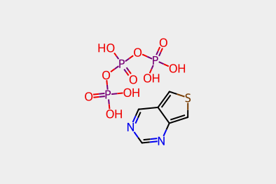 O=P(O)(O)OP(=O)(O)OP(=O)(O)O.c1ncc2cscc2n1